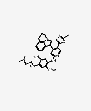 COc1cc(NCCN(C)C)c(N)cc1Nc1ncc(-c2nnc(C)o2)c(-c2cn3c4c(cccc24)CCC3)n1